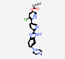 COC(=O)Oc1cnc(-c2ccc(-c3nc4ccc(N5CCN(C)CC5)cc4[nH]3)nc2)c(Cl)c1